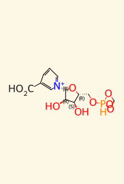 O=C(O)c1ccc[n+]([C@@H]2O[C@H](CO[PH]34OC(O3)O4)[C@@H](O)[C@H]2O)c1